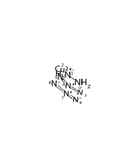 NN.[Cu+2].[N-]=[N+]=[N-].[N-]=[N+]=[N-]